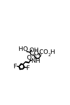 O=C(C=Cc1cc(F)ccc1F)N[C@@H]1CC[C@@H](C(=O)O)O[C@@H]1CC(O)CO